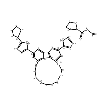 CC(C)(C)OC(=O)N1CCC[C@H]1c1ncc(-c2ccc3c(c2)OCCOCCOCCOc2cc(-c4cnc(C5CCCC5)[nH]4)ccc2-3)[nH]1